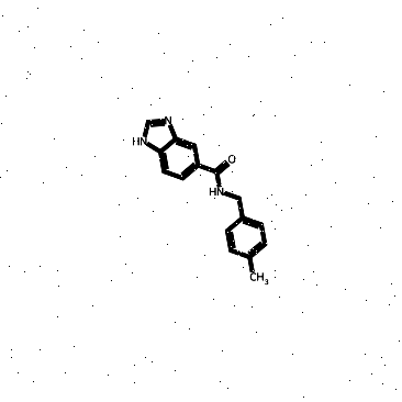 Cc1ccc(CNC(=O)c2ccc3[nH]cnc3c2)cc1